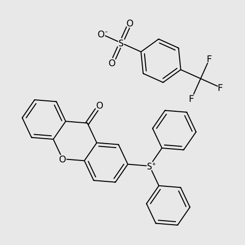 O=S(=O)([O-])c1ccc(C(F)(F)F)cc1.O=c1c2ccccc2oc2ccc([S+](c3ccccc3)c3ccccc3)cc12